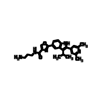 Cc1cc(-c2[nH]c3ccc(-c4nc(C(=O)NCCCN)co4)cc3c2C(C)C)cc(C)n1